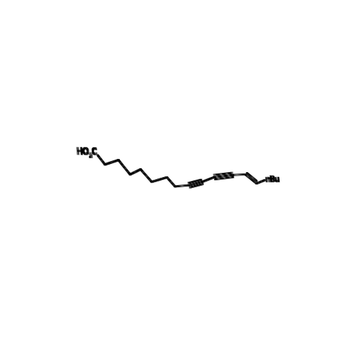 CCCCC=CC#CC#CCCCCCCCC(=O)O